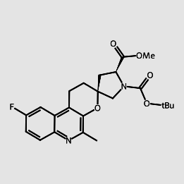 COC(=O)[C@@H]1C[C@@]2(CCc3c(c(C)nc4ccc(F)cc34)O2)CN1C(=O)OC(C)(C)C